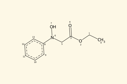 CCOC(=O)CN(O)c1ccccc1